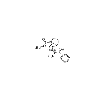 COCC1C2CCC1N(C(=O)OC(C)(C)C)C2CC(C(O)c1ccccc1)[N+](=O)[O-]